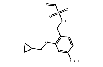 C=CS(=O)(=O)NCc1ccc(C(=O)O)cc1OCC1CC1